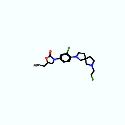 CC(=O)NCC1CN(c2ccc(N3CCC4(CCN(CCF)C4)C3)c(F)c2)C(=O)O1